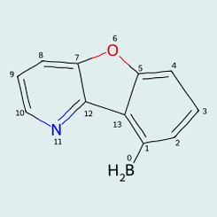 Bc1cccc2oc3cccnc3c12